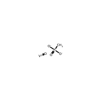 CP(=O)([O-])[O-].[O]=[V+2]